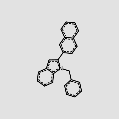 c1ccc(Cn2c(-c3ccc4ccccc4c3)cc3ccccc32)cc1